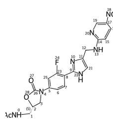 CC(=O)NC[C@H]1CN(c2ccc(-c3nc(CNc4ccc([N+](=O)[O-])cn4)c[nH]3)c(F)c2)C(=O)O1